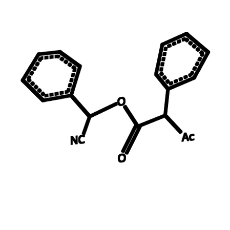 CC(=O)C(C(=O)OC(C#N)c1ccccc1)c1ccccc1